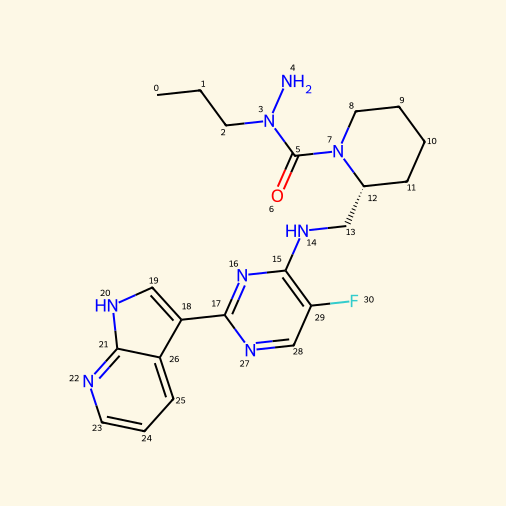 CCCN(N)C(=O)N1CCCC[C@@H]1CNc1nc(-c2c[nH]c3ncccc23)ncc1F